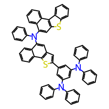 c1ccc(N(c2ccccc2)c2cc(-c3cc4cc(N(c5ccccc5)c5cc6sc7ccccc7c6c6ccccc56)c5ccccc5c4s3)cc(N(c3ccccc3)c3ccccc3)c2)cc1